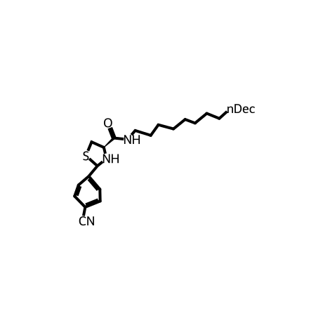 CCCCCCCCCCCCCCCCCCNC(=O)[C@@H]1CSC(c2ccc(C#N)cc2)N1